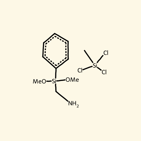 CO[Si](CN)(OC)c1ccccc1.C[Si](Cl)(Cl)Cl